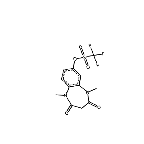 CN1C(=O)CC(=O)N(C)c2cc(OS(=O)(=O)C(F)(F)F)ccc21